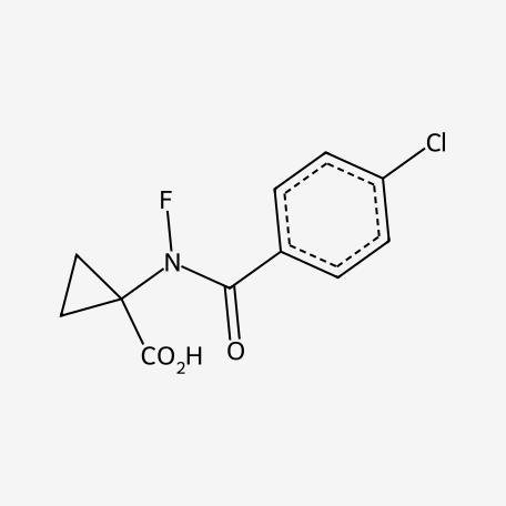 O=C(c1ccc(Cl)cc1)N(F)C1(C(=O)O)CC1